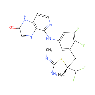 C/N=C(/N)S[C@](C)(Cc1cc(Nc2nccc3[nH]c(=O)cnc23)cc(F)c1F)C(F)F